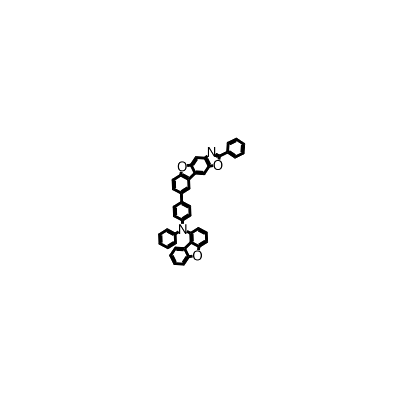 c1ccc(-c2nc3cc4oc5ccc(-c6ccc(N(c7ccccc7)c7cccc8oc9ccccc9c78)cc6)cc5c4cc3o2)cc1